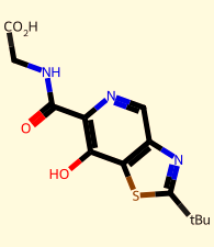 CC(C)(C)c1nc2cnc(C(=O)NCC(=O)O)c(O)c2s1